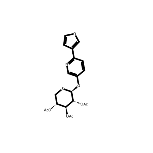 CC(=O)O[C@@H]1[C@@H](OC(C)=O)[C@H](OC(C)=O)CS[C@H]1Oc1ccc(-c2ccoc2)nc1